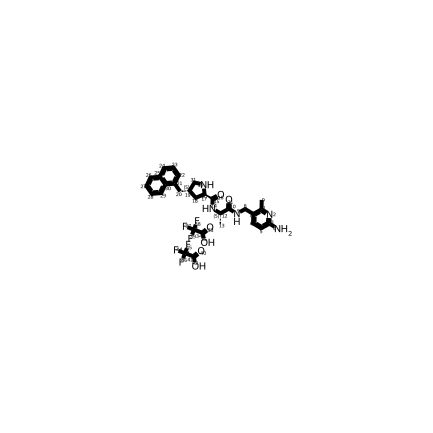 Cc1nc(N)ccc1CNC(=O)[C@H](C)NC(=O)[C@H]1C[C@H](Cc2cccc3ccccc23)CN1.O=C(O)C(F)(F)F.O=C(O)C(F)(F)F